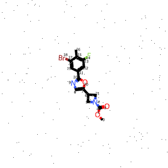 COC(=O)N1CC(c2cnc(-c3cc(F)c(C)c(Br)c3)o2)C1